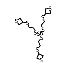 C(C[S][Sb]([S]CCSC1CSC1)[S]CCSC1CSC1)SC1CSC1